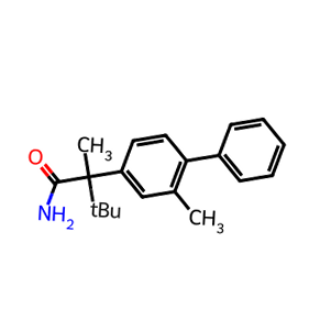 Cc1cc(C(C)(C(N)=O)C(C)(C)C)ccc1-c1ccccc1